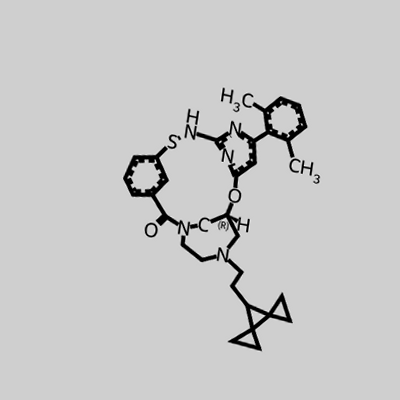 Cc1cccc(C)c1-c1cc2nc(n1)NSc1cccc(c1)C(=O)N1CCN(CCC3C4(CC4)C34CC4)C[C@H](C1)O2